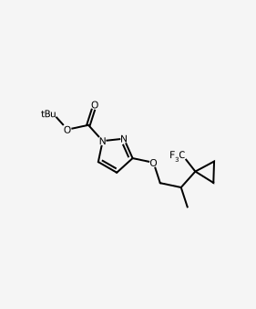 CC(COc1ccn(C(=O)OC(C)(C)C)n1)C1(C(F)(F)F)CC1